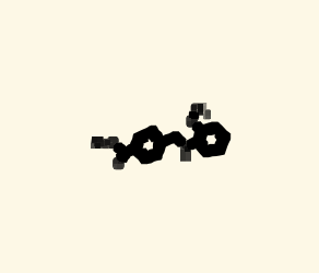 COC(=O)c1ccc(CNc2ccccc2OC(F)(F)F)cc1